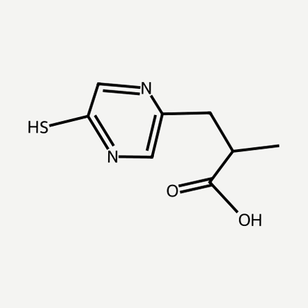 CC(Cc1cnc(S)cn1)C(=O)O